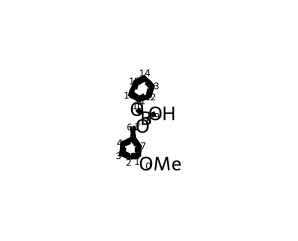 COc1cccc(COB(O)Oc2ccccc2)c1